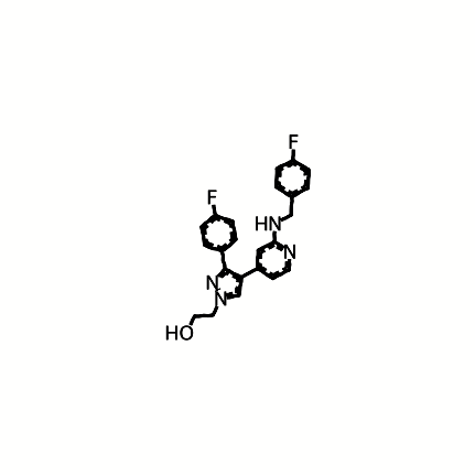 OCCn1cc(-c2ccnc(NCc3ccc(F)cc3)c2)c(-c2ccc(F)cc2)n1